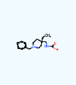 CCC1(CNC(=O)O)CCN(Cc2ccccc2)CC1